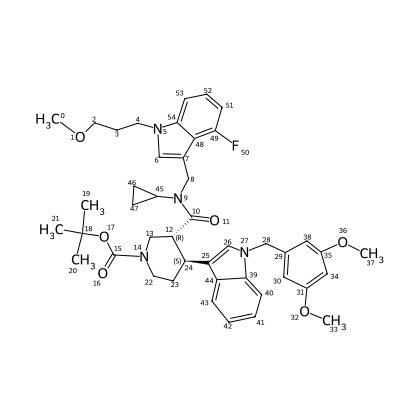 COCCCn1cc(CN(C(=O)[C@H]2CN(C(=O)OC(C)(C)C)CC[C@@H]2c2cn(Cc3cc(OC)cc(OC)c3)c3ccccc23)C2CC2)c2c(F)cccc21